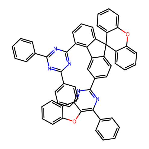 c1ccc(-c2nc(-c3ccccc3)nc(-c3cccc4c3-c3cc(-c5nc(-c6ccccc6)c6oc7ccccc7c6n5)ccc3C43c4ccccc4Oc4ccccc43)n2)cc1